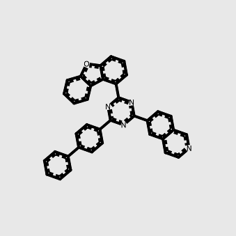 c1ccc(-c2ccc(-c3nc(-c4ccc5cnccc5c4)nc(-c4cccc5oc6ccccc6c45)n3)cc2)cc1